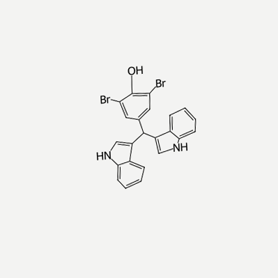 Oc1c(Br)cc(C(c2c[nH]c3ccccc23)c2c[nH]c3ccccc23)cc1Br